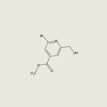 COC(=O)c1cc(Br)nc(CO)c1